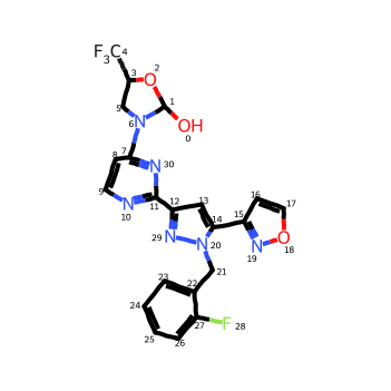 OC1OC(C(F)(F)F)CN1c1ccnc(-c2cc(-c3ccon3)n(Cc3ccccc3F)n2)n1